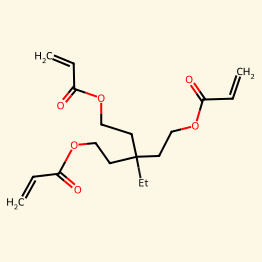 C=CC(=O)OCCC(CC)(CCOC(=O)C=C)CCOC(=O)C=C